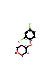 Fc1c[c]c(OC2CCOCC2)c(F)c1